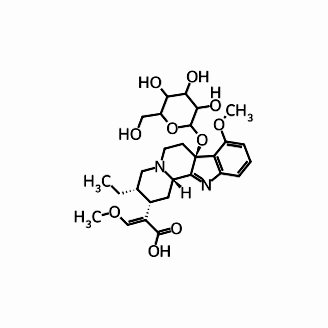 CC[C@@H]1CN2CC[C@@]3(OC4OC(CO)C(O)C(O)C4O)C(=Nc4cccc(OC)c43)[C@@H]2C[C@@H]1/C(=C\OC)C(=O)O